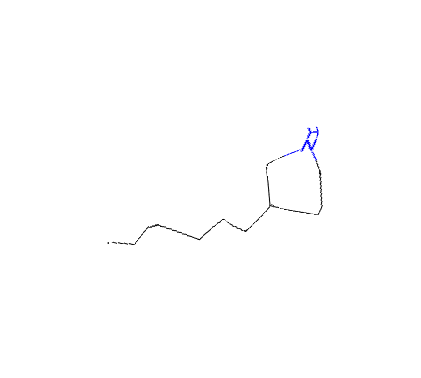 [CH2]CCCCCC1CCNC1